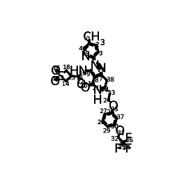 Cc1ccc(-n2nc3c(c2NC(=O)C2CS(=O)(=O)C2)C(=O)N[C@@H](CCOc2cccc(OCC(F)(F)F)c2)C3)nc1